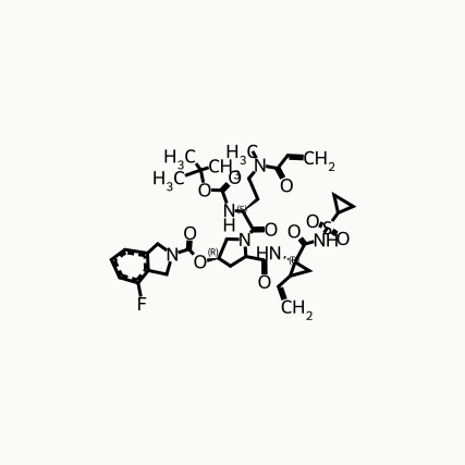 C=CC(=O)N(C)CC[C@H](NC(=O)OC(C)(C)C)C(=O)N1C[C@H](OC(=O)N2Cc3cccc(F)c3C2)CC1C(=O)N[C@]1(C(=O)NS(=O)(=O)C2CC2)CC1C=C